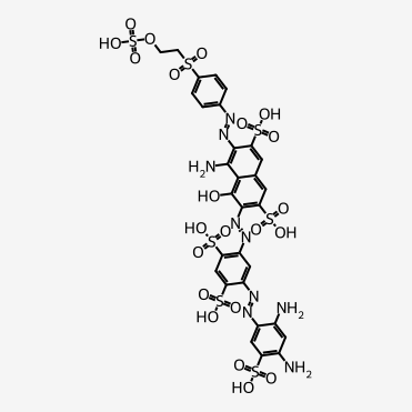 Nc1cc(N)c(S(=O)(=O)O)cc1/N=N/c1cc(/N=N/c2c(S(=O)(=O)O)cc3cc(S(=O)(=O)O)c(/N=N/c4ccc(S(=O)(=O)CCOS(=O)(=O)O)cc4)c(N)c3c2O)c(S(=O)(=O)O)cc1S(=O)(=O)O